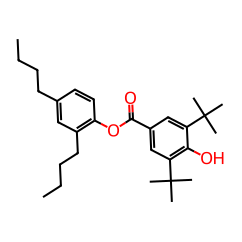 CCCCc1ccc(OC(=O)c2cc(C(C)(C)C)c(O)c(C(C)(C)C)c2)c(CCCC)c1